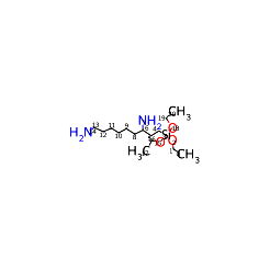 CCO[Si](CCC(N)CCCCCCN)(OCC)OCC